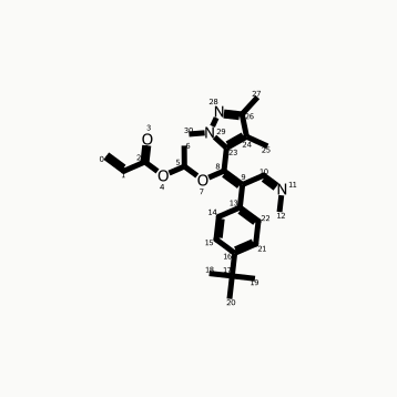 C=CC(=O)OC(C)O/C(=C(/C=N\C)c1ccc(C(C)(C)C)cc1)c1c(C)c(C)nn1C